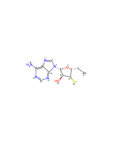 CC(=O)C[C@H]1O[C@@H](n2cnc3c(N)ncnc32)[C@H](O)[C@@H]1S